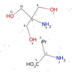 CC(C)C(N)C(=O)O.NC(CO)(CO)CO